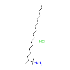 CCCCCCCCCCCCCCCC(C)C(C)(C)N.Cl